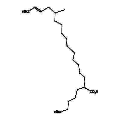 CCCCCCCCC=CCC(C)CCCCCCCCCCC(CCCCCCCCCCCCCC)C(=O)O